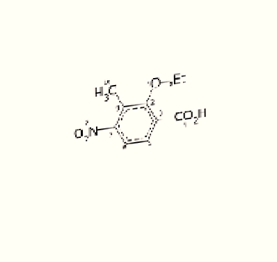 CCOc1c(C(=O)O)ccc([N+](=O)[O-])c1C